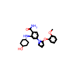 COc1ccccc1Oc1cccn1-c1ccc(C(N)=O)c(N[C@H]2CC[C@H](O)CC2)c1